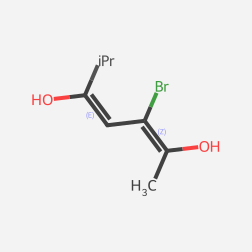 C/C(O)=C(Br)\C=C(\O)C(C)C